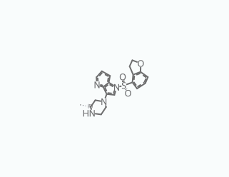 C[C@@H]1CN(c2cn(S(=O)(=O)c3cccc4c3CCO4)c3cccnc23)CCN1